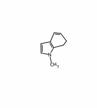 Cn1ccc2c1CCC=C2